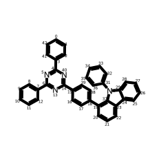 c1ccc(-c2nc(-c3ccccc3)nc(-c3ccc(-c4cccc5c6ccccc6n(-c6ccccc6)c45)cc3)n2)cc1